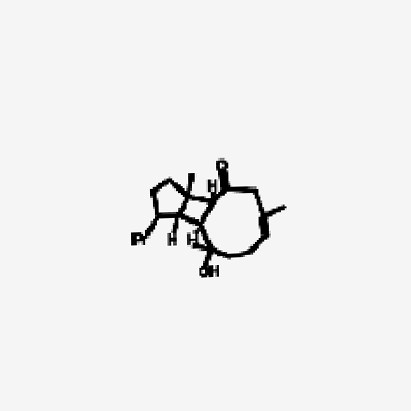 C/C1=C/CC[C@](C)(O)[C@H]2[C@@H]3[C@@H](C(C)C)CC[C@]3(C)[C@@H]2C(=O)C1